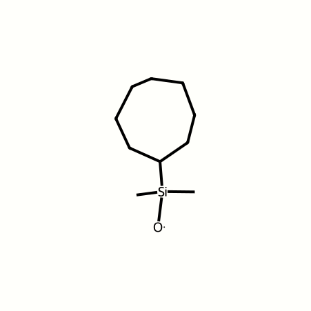 C[Si](C)([O])C1CCCCCCC1